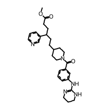 COC(=O)CCC(CCC1CCN(C(=O)c2cccc(NC3=NCCCN3)c2)CC1)c1cccnc1